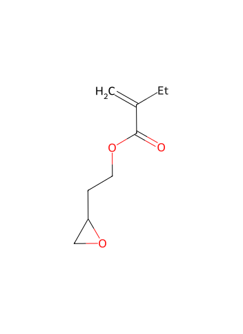 C=C(CC)C(=O)OCCC1CO1